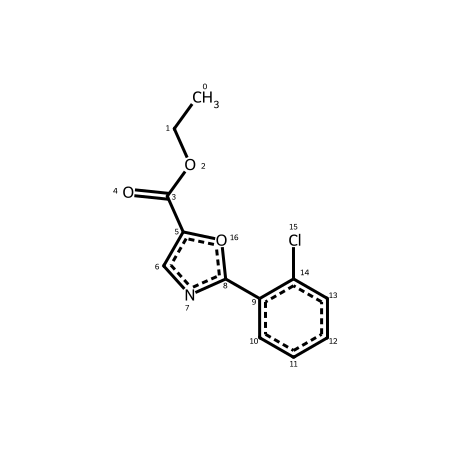 CCOC(=O)c1cnc(-c2ccccc2Cl)o1